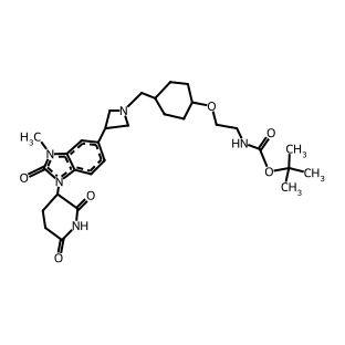 Cn1c(=O)n(C2CCC(=O)NC2=O)c2ccc(C3CN(CC4CCC(OCCNC(=O)OC(C)(C)C)CC4)C3)cc21